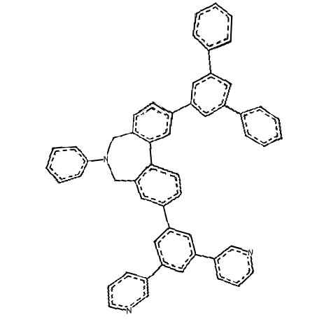 c1ccc(-c2cc(-c3ccccc3)cc(-c3ccc4c(c3)-c3ccc(-c5cc(-c6cccnc6)cc(-c6cccnc6)c5)cc3CN(c3ccccc3)C4)c2)cc1